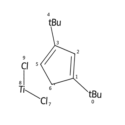 CC(C)(C)C1=CC(C(C)(C)C)=C[CH]1.[Cl][Ti][Cl]